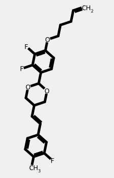 C=CCCCOc1ccc(C2OCC(/C=C/c3ccc(C)c(F)c3)CO2)c(F)c1F